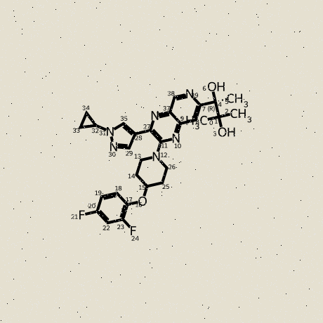 CC(C)(O)[C@](C)(O)c1cc2nc(N3CCC(Oc4ccc(F)cc4F)CC3)c(-c3cnn(C4CC4)c3)nc2cn1